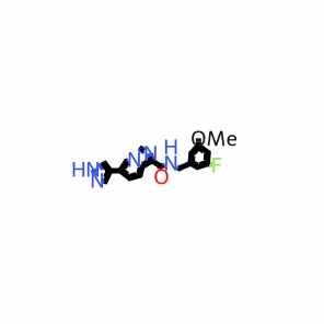 COc1cc(F)cc(CNC(=O)c2ncn3cc(-c4cn[nH]c4)ccc23)c1